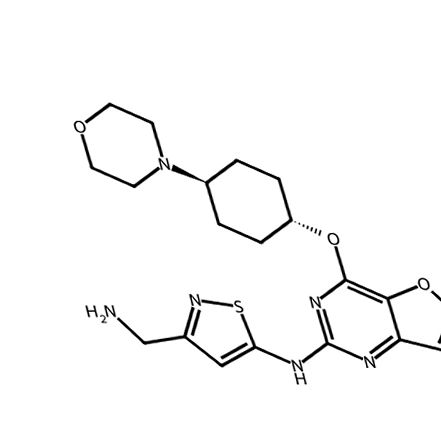 NCc1cc(Nc2nc(O[C@H]3CC[C@H](N4CCOCC4)CC3)c3occc3n2)sn1